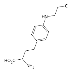 NC(CCc1ccc(NCCCl)cc1)C(=O)O